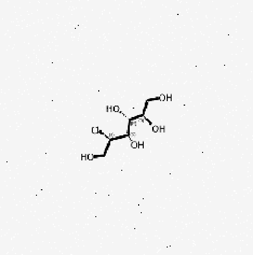 OC[C@@H](O)[C@@H](O)[C@H](O)[C@H](Cl)CO